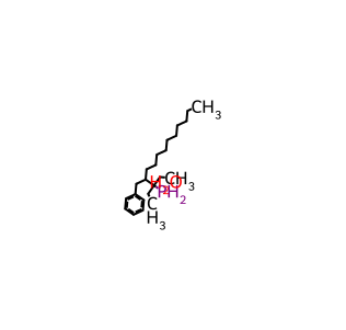 CCCCCCCCCCC(Cc1ccccc1)C(P)(CC)CC.O